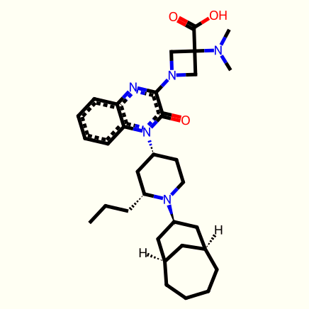 CCC[C@@H]1C[C@H](n2c(=O)c(N3CC(C(=O)O)(N(C)C)C3)nc3ccccc32)CCN1[C@@H]1C[C@@H]2CCCC[C@@H](C2)C1